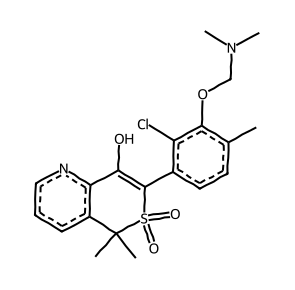 Cc1ccc(C2=C(O)c3ncccc3C(C)(C)S2(=O)=O)c(Cl)c1OCN(C)C